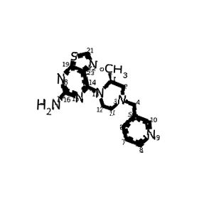 C[C@H]1CN(Cc2cccnc2)CCN1c1nc(N)nc2scnc12